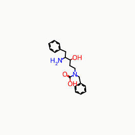 NC(Cc1ccccc1)C(O)CCN(Cc1ccccc1)C(=O)O